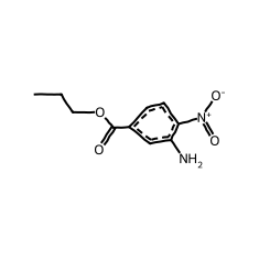 CCCOC(=O)c1ccc([N+](=O)[O-])c(N)c1